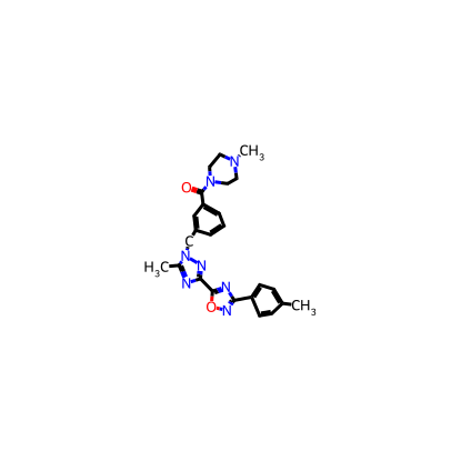 Cc1ccc(-c2noc(-c3nc(C)n(Cc4cccc(C(=O)N5CCN(C)CC5)c4)n3)n2)cc1